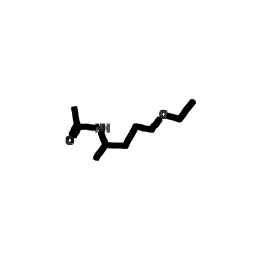 CCOCCCC(C)NC(C)=O